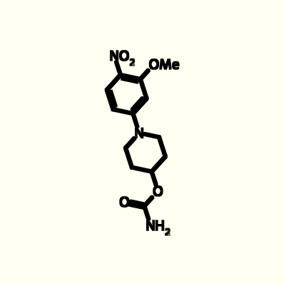 COc1cc(N2CCC(OC(N)=O)CC2)ccc1[N+](=O)[O-]